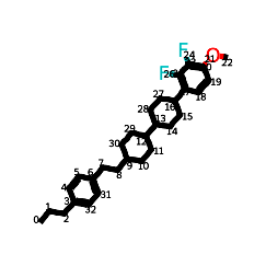 CCCc1ccc(CCC2CCC(C3CCC(c4ccc(OC)c(F)c4F)CC3)CC2)cc1